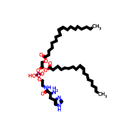 CCCCCCCC/C=C\CCCCCCCC(=O)OCC(OC(=O)CCCCCCC/C=C\CCCCCCCC)OP(=O)(O)OCCNC(=O)C(N)Cc1c[nH]cn1